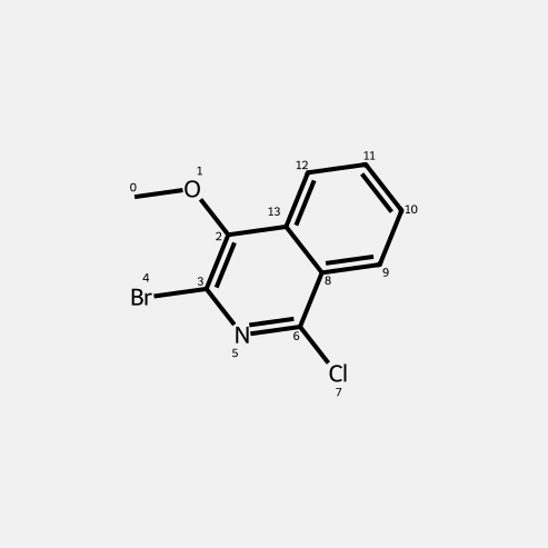 COc1c(Br)nc(Cl)c2ccccc12